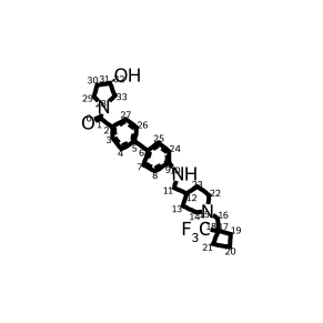 O=C(c1ccc(-c2ccc(NCC3CCN(CC4(C(F)(F)F)CCC4)CC3)cc2)cc1)N1CC[C@H](O)C1